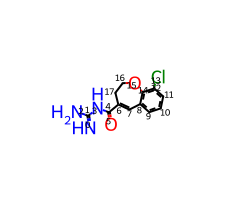 N=C(N)NC(=O)C1=Cc2cccc(Cl)c2OCC1